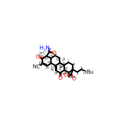 CC1C2(CCC(C)(C)C)CC[C@@]3(C)[C@]4(C)CCC5[C@](C)(C(N)=O)C(=O)C(C#N)=C[C@]5(C)C4=CC(=O)[C@]13OC2=O